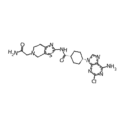 NC(=O)CN1CCc2nc(NC(=O)[C@H]3CC[C@@H](n4cnc5c(N)nc(Cl)nc54)CC3)sc2C1